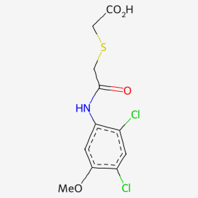 COc1cc(NC(=O)CSCC(=O)O)c(Cl)cc1Cl